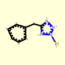 CCn1nnc(Cc2[c]cccc2)n1